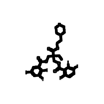 CCC(COC(=O)c1cc(I)cc(I)c1I)(COC(=O)c1c(I)ccc(I)c1I)C(=O)OCCN1CCOCC1